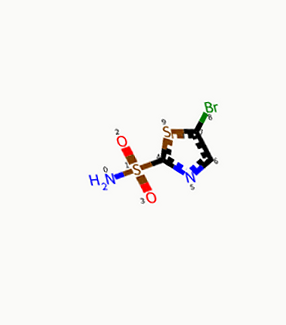 NS(=O)(=O)c1ncc(Br)s1